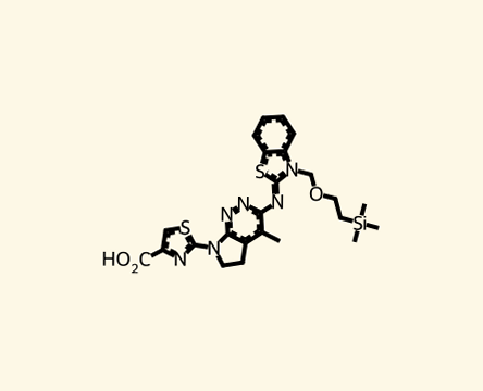 Cc1c(/N=c2\sc3ccccc3n2COCC[Si](C)(C)C)nnc2c1CCN2c1nc(C(=O)O)cs1